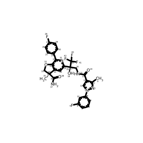 Cc1nn(-c2cccc(F)c2)cc1C(=O)NC[C@](O)(c1cc2c(c(-c3ccc(F)cc3)n1)OC[C@]2(C)C(N)=O)C(F)(F)F